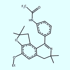 CCOc1cc2c(c3c1OC(C)(C)C3)C(c1cccc(NC(=O)C(F)(F)F)c1)=NC(C)(C)C2